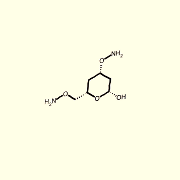 NOC[C@@H]1C[C@H](ON)C[C@H](O)O1